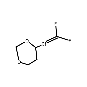 F[C](F)=[Cf][CH]1CCOCO1